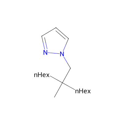 CCCCCCC(C)(CCCCCC)Cn1cccn1